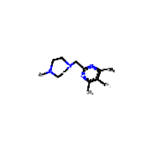 CC(=O)N1CCN(Cc2nc(C)c(C)c(C)n2)CC1